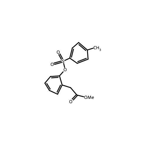 COC(=O)Cc1ccccc1OS(=O)(=O)c1ccc(C)cc1